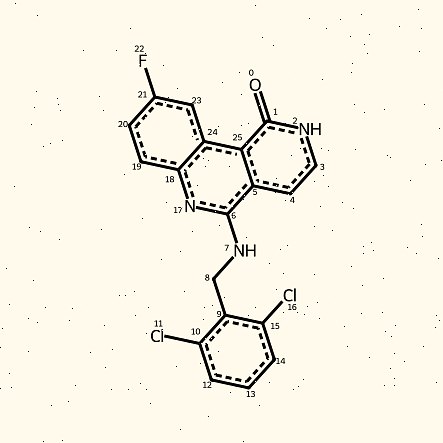 O=c1[nH]ccc2c(NCc3c(Cl)cccc3Cl)nc3ccc(F)cc3c12